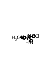 CCCN1CCC(Nc2[nH]nc(-c3ccc(Cl)cc3)c2C2=CC=NCC2)CC1